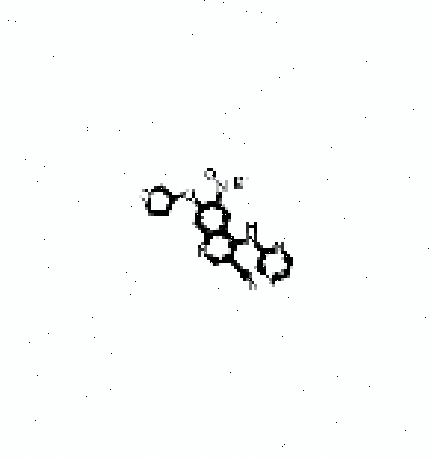 N#Cc1cnc2cc(OC3CCOC3)c([N+](=O)[O-])cc2c1Nc1cnccn1